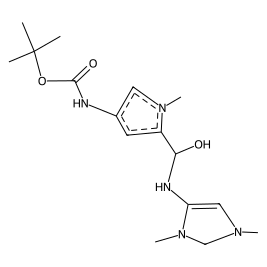 CN1C=C(NC(O)c2cc(NC(=O)OC(C)(C)C)cn2C)N(C)C1